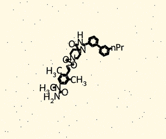 CCCc1cccc(-c2cccc(C3=NC4(CCN(S(=O)(=O)/C=C/c5c(C)cc(N(C)C(N)=O)cc5C)CC4)C(=O)N3)c2)c1